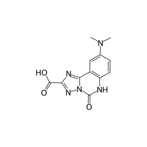 CN(C)c1ccc2[nH]c(=O)n3nc(C(=O)O)nc3c2c1